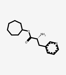 N[C@H](Cc1cccnc1)C(=O)OC1CCCCCC1